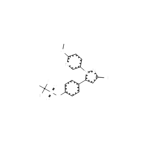 COc1ccc(-n2nc(Cl)cc2-c2ccc(OS(=O)(=O)C(F)(F)F)cc2)cn1